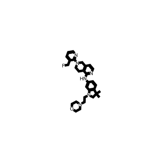 CC1(C)CN(CCN2CCOCC2)c2cc(Nc3nccc4c3CCN(c3ncccc3CF)C4)ccc21